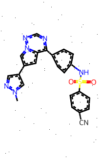 Cn1cc(-c2cc3c(-c4ccc(NS(=O)(=O)c5ccc(C#N)cc5)cc4)ncnn3c2)cn1